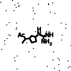 CC(=O)C(C)C1CCC(NC(=N)N)C1